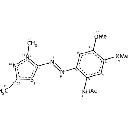 CNc1cc(NC(C)=O)c(N=Nc2sc(C)n[n+]2C)cc1OC